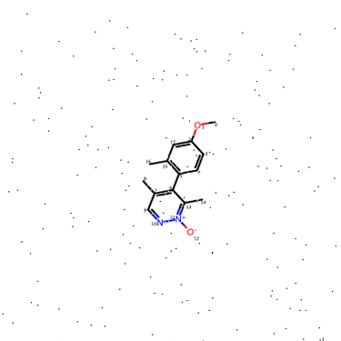 COc1ccc(-c2c(C)cn[n+]([O-])c2C)c(C)c1